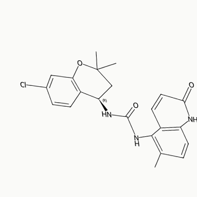 Cc1ccc2[nH]c(=O)ccc2c1NC(=O)N[C@@H]1CC(C)(C)Oc2cc(Cl)ccc21